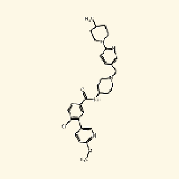 CC1CCN(c2ccc(CN3CCC(NC(=O)c4ccc(Cl)c(-c5ccc(OC(F)(F)F)nc5)c4)CC3)cn2)CC1